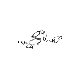 COc1cc2c(N)ncnc2cc1OCCCN1CCOCC1